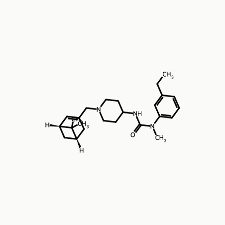 CCc1cccc(N(C)C(=O)NC2CCN(CC3=C[C@H]4C[C@@H](C3)C4(C)C)CC2)c1